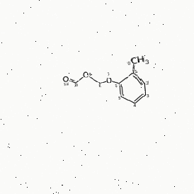 Cc1ccccc1OCOC=O